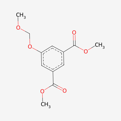 COCOc1cc(C(=O)OC)cc(C(=O)OC)c1